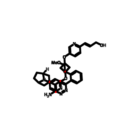 COCOc1ccccc1-c1cc(N2CC3CC[C@H](C2)N3c2ccnc(OC3CC(Oc4ccc(C=CCO)nc4)C3)c2)c(N)nn1